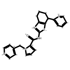 O=C(Nc1nc2c(s1)C(c1ccccn1)CCC2)c1cccn1Cc1ccncc1